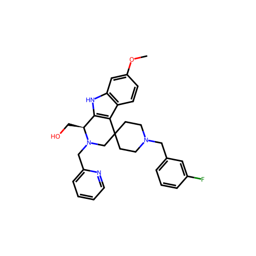 COc1ccc2c3c([nH]c2c1)[C@H](CO)N(Cc1ccccn1)CC31CCN(Cc2cccc(F)c2)CC1